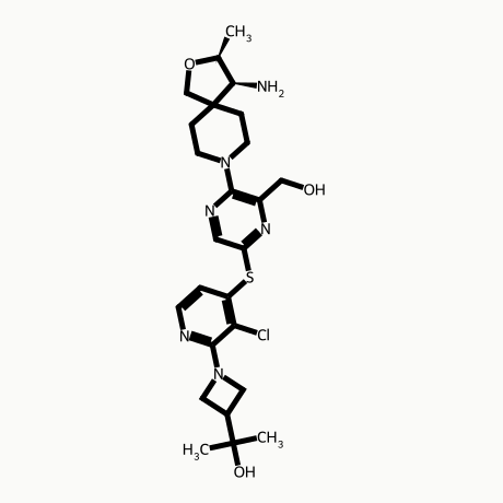 C[C@@H]1OCC2(CCN(c3ncc(Sc4ccnc(N5CC(C(C)(C)O)C5)c4Cl)nc3CO)CC2)[C@@H]1N